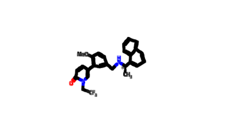 COc1ccc(CN[C@H](C)c2cccc3ccccc23)cc1-c1ccc(=O)n(CC(F)(F)F)c1